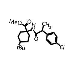 COC(=O)C1(NC(=O)C(C)c2ccc(Cl)cc2)CCC(C(C)(C)C)CC1